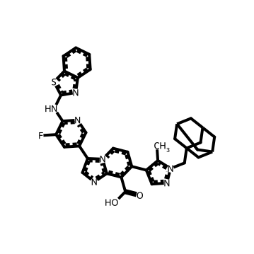 Cc1c(-c2ccn3c(-c4cnc(Nc5nc6ccccc6s5)c(F)c4)cnc3c2C(=O)O)cnn1CC12CC3CC(CC(C3)C1)C2